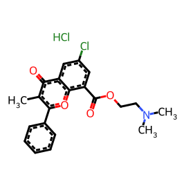 Cc1c(-c2ccccc2)oc2c(C(=O)OCCN(C)C)cc(Cl)cc2c1=O.Cl